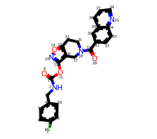 O=C(NCc1ccc(F)cc1)Oc1noc2c1CN(C(=O)c1ccc3ncccc3c1)CC2